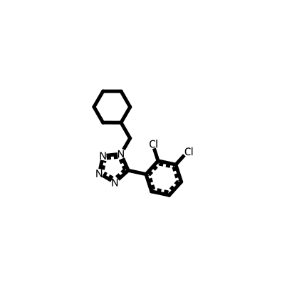 Clc1cccc(-c2nnnn2CC2CCCCC2)c1Cl